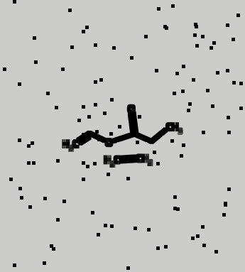 C=C.C=COC(=O)CC